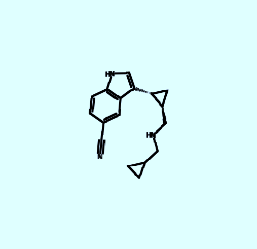 N#Cc1ccc2[nH]cc([C@@H]3C[C@H]3CNCC3CC3)c2c1